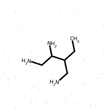 CCC(CN)C(N)CN